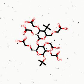 CC(C)(C)O[C@H]1O[C@@H](COCC(=O)O)C(OC2OC(COCC(=O)O)C(C(C)(C)C)C(OCC(=O)O)[C@H]2OCC(=O)O)C(OCC(=O)O)C1OCC(=O)O